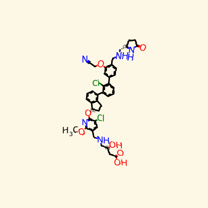 COc1nc(O[C@H]2CCc3c(-c4cccc(-c5ccc(CNC[C@@H]6CCC(=O)N6)c(OCC#N)c5)c4Cl)cccc32)c(Cl)cc1CNC[C@@H](O)CC(=O)O